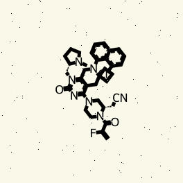 C=C(F)C(=O)N1CCN(c2nc(=O)n(C[C@@H]3CCCN3C)c3c2CC2(CCC2)N(c2cccc4cccc(Cl)c24)C3)C[C@@H]1CC#N